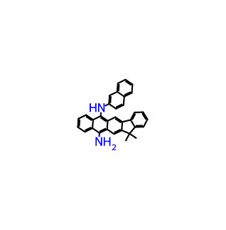 CC1(C)c2ccccc2-c2cc3c(Nc4ccc5ccccc5c4)c4ccccc4c(N)c3cc21